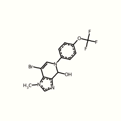 Cn1cnc2c1C(Br)=CN(c1ccc(OC(F)(F)F)cc1)C2O